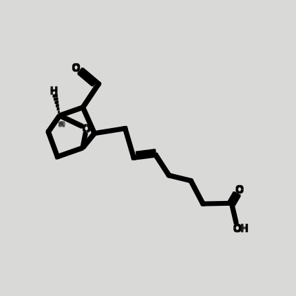 O=CC1C(CC=CCCCC(=O)O)C2CC[C@@H]1O2